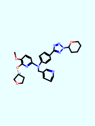 COc1ccc(N(Cc2cccnc2)c2ccc(-c3nnn(C4CCCCO4)n3)cc2)nc1O[C@@H]1CCOC1